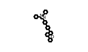 C1=CCC(c2nc(-c3ccccc3)cc(-c3ccc(-c4ccc(-c5ccc6c7c(cccc57)-c5ccccc5O6)cc4)cc3)n2)C=C1